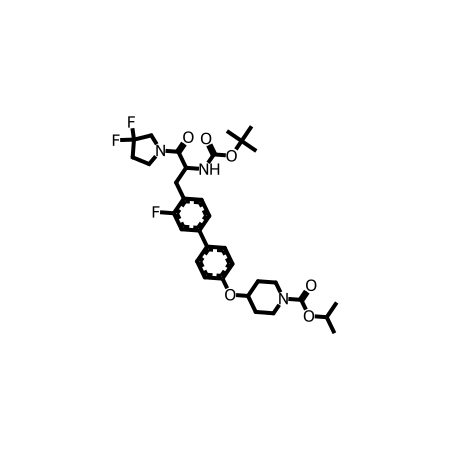 CC(C)OC(=O)N1CCC(Oc2ccc(-c3ccc(CC(NC(=O)OC(C)(C)C)C(=O)N4CCC(F)(F)C4)c(F)c3)cc2)CC1